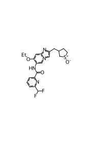 CCOc1cc2nc(CC3CC[S+]([O-])C3)cn2cc1NC(=O)c1cccc(C(F)F)n1